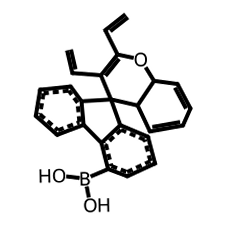 C=CC1=C(C=C)C2(c3ccccc3-c3c(B(O)O)cccc32)C2C=CC=CC2O1